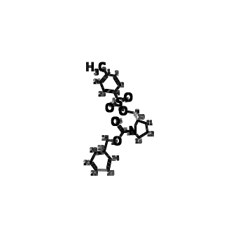 Cc1ccc(S(=O)(=O)OC[C@@H]2CCCN2C(=O)OCc2ccccc2)cc1